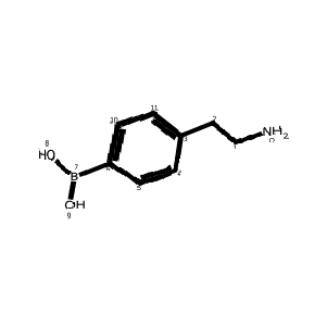 NCCc1ccc(B(O)O)cc1